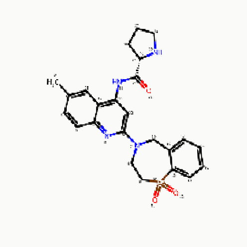 Cc1ccc2nc(N3CCS(=O)(=O)c4ccccc4C3)cc(NC(=O)[C@@H]3CCCN3)c2c1